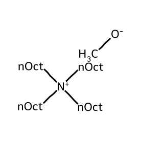 CCCCCCCC[N+](CCCCCCCC)(CCCCCCCC)CCCCCCCC.C[O-]